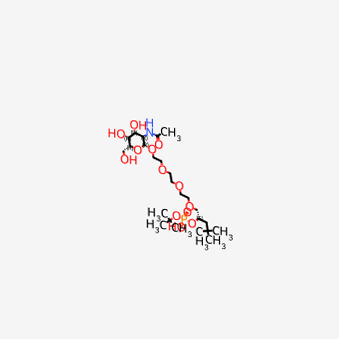 CC(=O)N[C@H]1[C@H](OCCOCCOCCOC[C@H](CC(C)(C)C)OP(=O)(O)OC(C)(C)C)O[C@H](CO)[C@H](O)[C@@H]1O